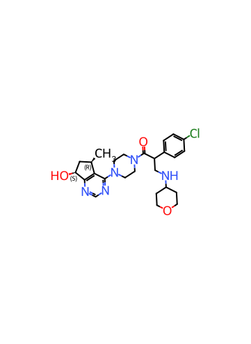 C[C@@H]1C[C@H](O)c2ncnc(N3CCN(C(=O)C(CNC4CCOCC4)c4ccc(Cl)cc4)CC3)c21